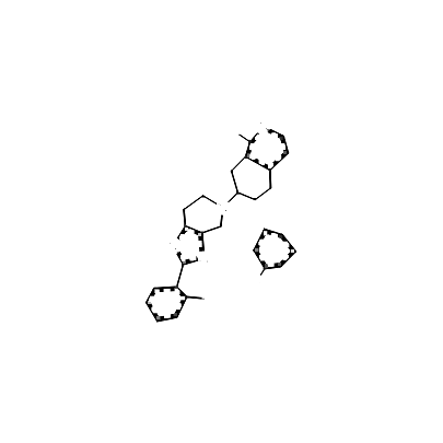 Cc1nccc2c1CC(N1CCc3nc(-c4ccccc4Cl)[nH]c3C1)CC2.Oc1ccccc1